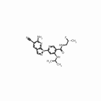 CC(C)Nc1cc(-n2ncc3cc(C#N)c(N)nc32)ncc1C(=O)NC[C@@H](C)F